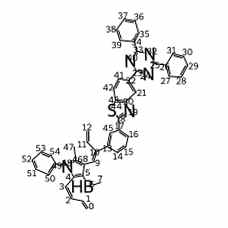 C=C/C=C\c1c(BC)c(/C=C(\C=C)c2cccc(-c3nc4cc(-c5nc(-c6ccccc6)nc(-c6ccccc6)n5)ccc4s3)c2)c(C)n1-c1ccccc1